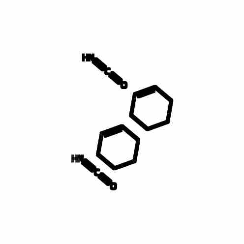 C1=CCCCC1.C1=CCCCC1.N=C=O.N=C=O